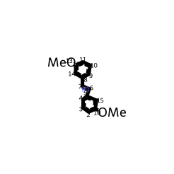 COc1cccc(/C=C/c2cccc(OC)c2)c1